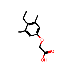 CCc1c(C)cc(OCC(=O)O)cc1C